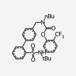 CCCCN(Cc1ccc(-c2ccccc2S(=O)(=O)NC(C)(C)C)cc1)C(=O)Oc1ccccc1C(F)(F)F